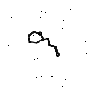 O=CCCC1CCCCO1